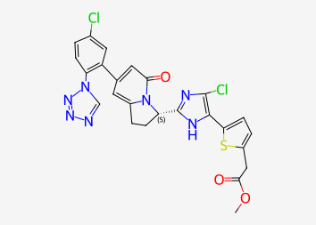 COC(=O)Cc1ccc(-c2[nH]c([C@@H]3CCc4cc(-c5cc(Cl)ccc5-n5cnnn5)cc(=O)n43)nc2Cl)s1